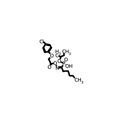 CCCCCC(=NOC(=O)COc1ccc(Cl)cc1)P(=O)(O)OC(C)CC